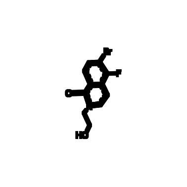 O=c1c2ccc(Br)c(F)c2ccn1CCO